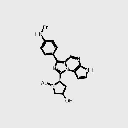 CCNc1ccc(-c2nc([C@H]3C[C@@H](O)CN3C(C)=O)n3c2cnc2[nH]ccc23)cc1